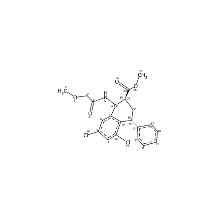 COCC(=O)NN1c2cc(Cl)cc(Cl)c2[C@@H](c2ccccc2)C[C@@H]1C(=O)OC